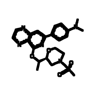 CC(Oc1nc(-c2ccc(N(C)C)cc2)cc2nccnc12)[C@@H]1CN(S(C)(=O)=O)CCO1